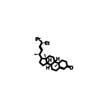 CC[C@H](/C=C/[C@@H](C)C1CC[C@H]2[C@@H]3CCC4=CC(=O)CC[C@]4(C)[C@H]3CC[C@]12C)C(C)C